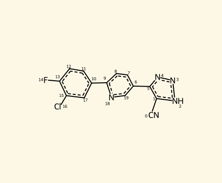 N#Cc1[nH]nnc1-c1ccc(-c2ccc(F)c(Cl)c2)nc1